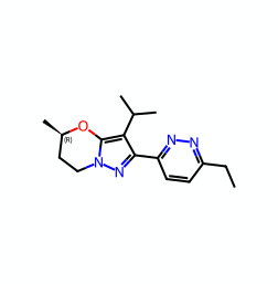 CCc1ccc(-c2nn3c(c2C(C)C)O[C@H](C)CC3)nn1